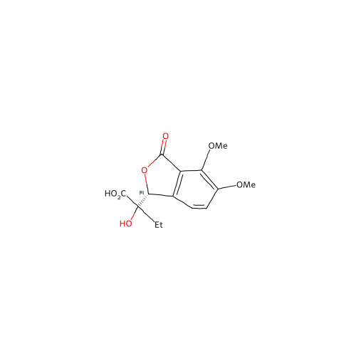 CCC(O)(C(=O)O)[C@@H]1OC(=O)c2c1ccc(OC)c2OC